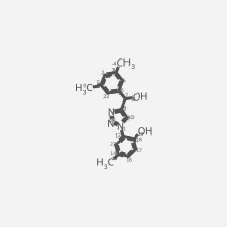 Cc1cc(C)cc(C(O)c2cn(-c3cc(C)ccc3O)nn2)c1